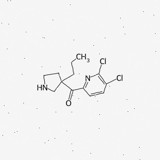 CCCC1(C(=O)c2ccc(Cl)c(Cl)n2)CCNC1